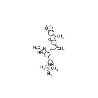 COc1ccc([C@H](C)N2C[C@H]([C@@H](C)CCc3cc(-c4cnn(C(C)(C)C)c4)cc4[nH]c(C)nc34)CC2=O)cc1